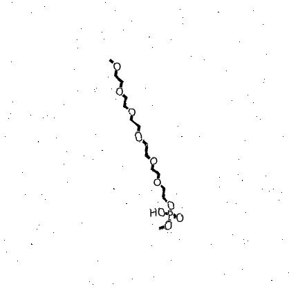 COCCOCCOCCOCCOCCOCCOP(=O)(O)OC